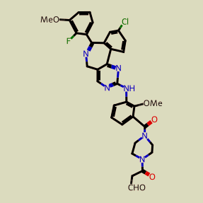 COc1cccc(C2=NCc3cnc(Nc4cccc(C(=O)N5CCN(C(=O)CC=O)CC5)c4OC)nc3-c3ccc(Cl)cc32)c1F